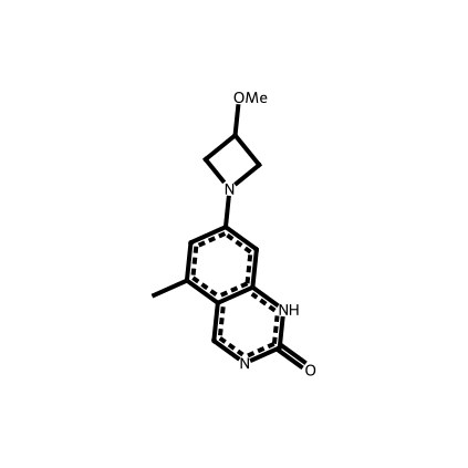 COC1CN(c2cc(C)c3cnc(=O)[nH]c3c2)C1